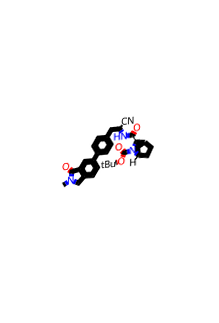 CN1Cc2ccc(-c3ccc(C[C@@H](C#N)NC(=O)[C@@H]4C5CC[C@H](C5)N4C(=O)OC(C)(C)C)cc3)cc2C1=O